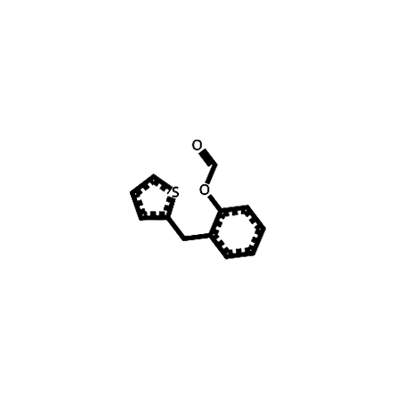 O=COc1ccccc1Cc1cccs1